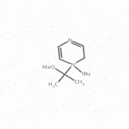 COC(C)(C)[N+]1(C(C)(C)C)C=CN=CC1